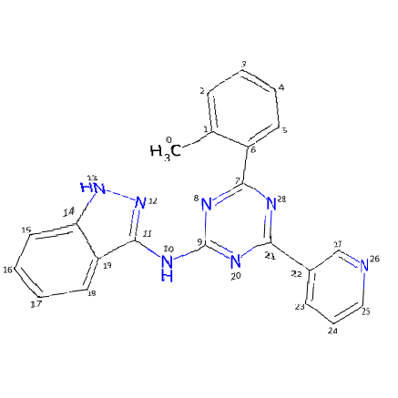 Cc1ccccc1-c1nc(Nc2n[nH]c3ccccc23)nc(-c2cccnc2)n1